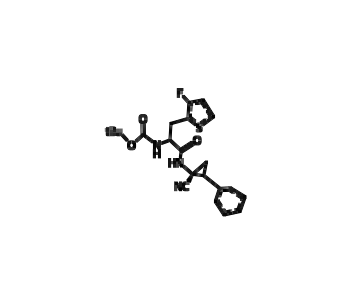 CC(C)(C)OC(=O)NC(Cc1sccc1F)C(=O)N[C@]1(C#N)CC1c1ccccc1